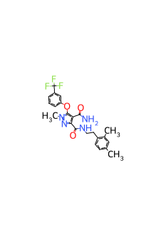 Cc1ccc(CCNC(=O)c2nn(C)c(Oc3cccc(C(F)(F)F)c3)c2C(N)=O)c(C)c1